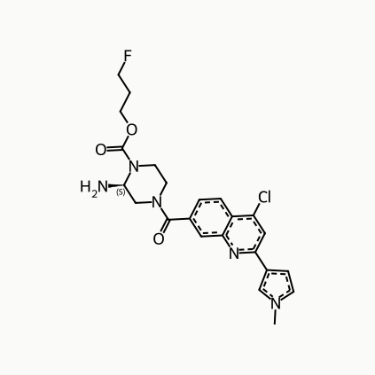 Cn1ccc(-c2cc(Cl)c3ccc(C(=O)N4CCN(C(=O)OCCCF)[C@H](N)C4)cc3n2)c1